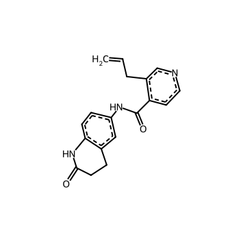 C=CCc1cnccc1C(=O)Nc1ccc2c(c1)CCC(=O)N2